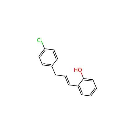 Oc1ccccc1C=CCc1ccc(Cl)cc1